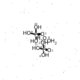 O.O.O=P(O)(O)O.O=P(O)(O)O